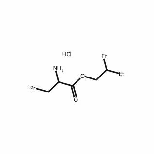 CCC(CC)COC(=O)C(N)CC(C)C.Cl